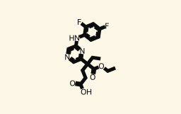 CCOC(=O)C(CC)(CCC(=O)O)c1cncc(Nc2ccc(F)cc2F)n1